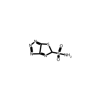 NS(=O)(=O)C1N=C2N=NN=C2S1